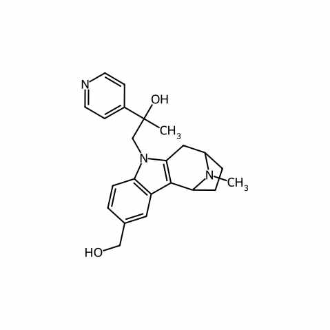 CN1C2CCC1c1c(n(CC(C)(O)c3ccncc3)c3ccc(CO)cc13)C2